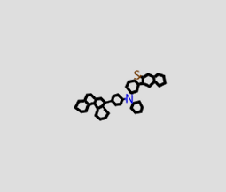 c1ccc(N(c2ccc(-c3cc4ccc5ccccc5c4c4ccccc34)cc2)c2ccc3sc4cc5ccccc5cc4c3c2)cc1